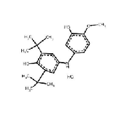 COc1ccc(Nc2cc(C(C)(C)C)c(O)c(C(C)(C)C)c2)cc1O.Cl